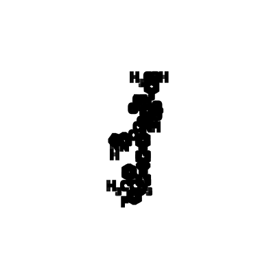 CC(C)c1ccccc1[C@@H]1CN(Cc2ccc(F)cc2)CCN1C1CC2(CCN(c3ccc(C(=O)NS(=O)(=O)c4cc([N+](=O)[O-])c(NCC5CCC(C)(O)CC5)c5c4OCO5)c(Oc4cnc5[nH]ccc5c4)c3)CC2)C1